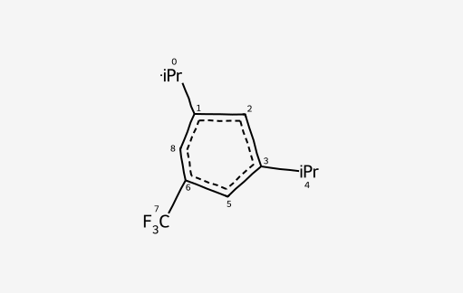 C[C](C)c1cc(C(C)C)cc(C(F)(F)F)c1